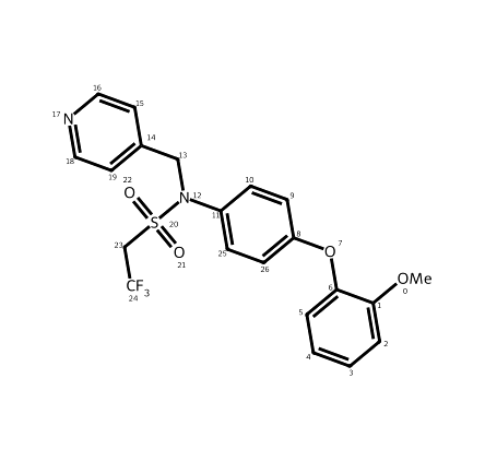 COc1ccccc1Oc1ccc(N(Cc2ccncc2)S(=O)(=O)CC(F)(F)F)cc1